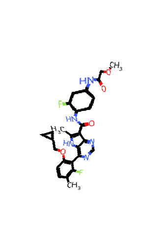 COCC(=O)NC1CCC(NC(=O)c2c(C)[nH]c3c(-c4c(OCC5CC5)ccc(C)c4F)ncnc23)C(F)C1